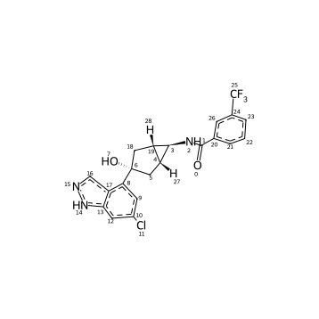 O=C(N[C@H]1[C@@H]2C[C@@](O)(c3cc(Cl)cc4[nH]ncc34)C[C@@H]21)c1cccc(C(F)(F)F)c1